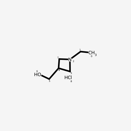 CCN1CC(CO)C1.Cl